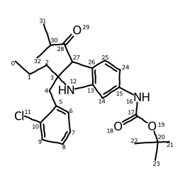 CCCC1(Cc2ccccc2Cl)Nc2cc(NC(=O)OC(C)(C)C)ccc2C1C(=O)C(C)C